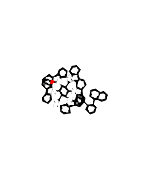 N#Cc1c(-n2c3ccccc3c3ccccc32)c(-n2c3ccccc3c3ccccc32)c(C#N)c(-n2c3ccc(-c4ccccc4-c4cccc5ccccc45)cc3c3ccc4c5ccccc5sc4c32)c1-n1c2ccccc2c2ccccc21